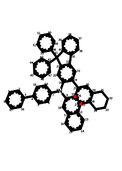 c1ccc(-c2ccc(N(c3ccc4ccccc4c3)c3cc4c(cc3-c3ccc5c(c3)CCCC5)-c3ccccc3C4(c3ccccc3)c3ccccc3)cc2)cc1